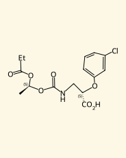 CCC(=O)O[C@H](C)OC(=O)NC[C@H](Oc1cccc(Cl)c1)C(=O)O